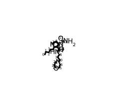 CCCCCc1nccc(NC(N)=O)c1C(=O)NCCCN1CCOCC1